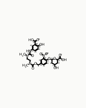 CN(CCN(C)C(=O)OCc1ccc(OC2CC(O)CC(C(=O)O)O2)c([N+](=O)[O-])c1)C(=O)Nc1ccc(O)c(C(=O)O)c1